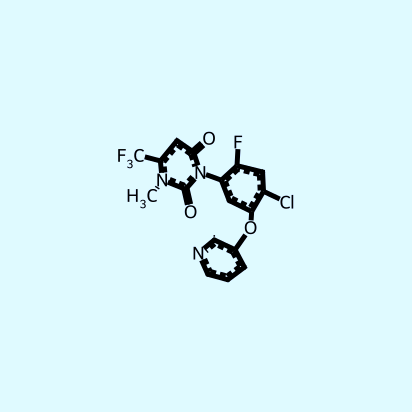 Cn1c(C(F)(F)F)cc(=O)n(-c2cc(Oc3[c]nccc3)c(Cl)cc2F)c1=O